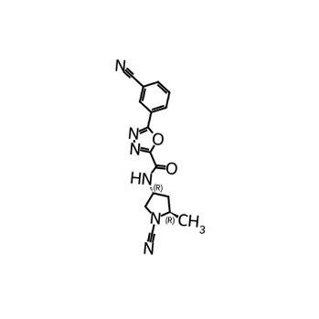 C[C@@H]1C[C@@H](NC(=O)c2nnc(-c3cccc(C#N)c3)o2)CN1C#N